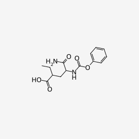 CCC(CC(NC(=O)Oc1ccccc1)C(N)=O)C(=O)O